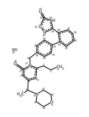 CCCc1nc(C(C)N2CCOCC2)cc(=O)n1Cc1ccc(-c2ccccc2-c2noc(=O)[nH]2)cc1.[KH]